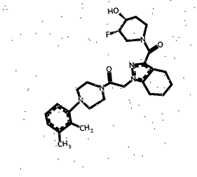 Cc1cccc(N2CCN(C(=O)Cn3nc(C(=O)N4CC[C@H](O)[C@H](F)C4)c4c3CCCC4)CC2)c1C